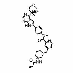 C=CC(=O)N[C@@H]1CCCN(Cc2ccnc(C(=O)Nc3ccc(-c4cc5c([C@]67CCOC[C@H]6C7)ncnc5[nH]4)cc3)c2)C1